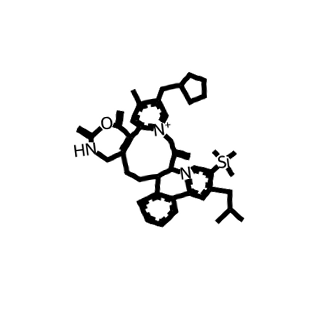 C=C1NCC2=C(C(=C)O1)c1cc(C)c(CC3CCCC3)c[n+]1CC(=C)C1C(CC2)c2ccccc2-c2cc(CC(C)C)c([Si](C)(C)C)c[n+]21